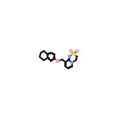 O=S1(=O)CCN2C=CC=C(COc3ccc4c(c3)CCCC4)C2=N1